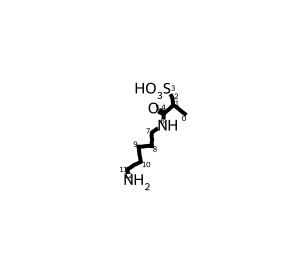 CC(CS(=O)(=O)O)C(=O)NCCCCCN